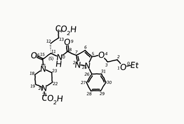 CCOCCOc1cc(C(=O)N[C@@H](CCC(=O)O)C(=O)N2CCN(C(=O)O)CC2)nn1-c1ccccc1